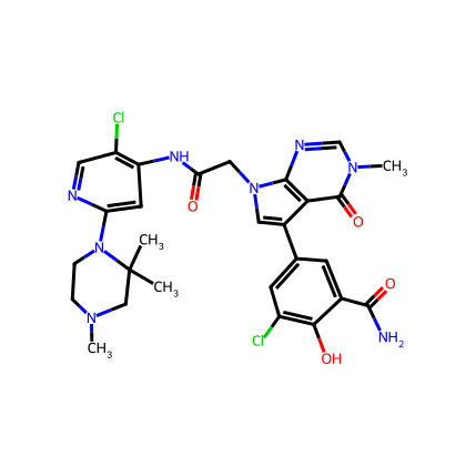 CN1CCN(c2cc(NC(=O)Cn3cc(-c4cc(Cl)c(O)c(C(N)=O)c4)c4c(=O)n(C)cnc43)c(Cl)cn2)C(C)(C)C1